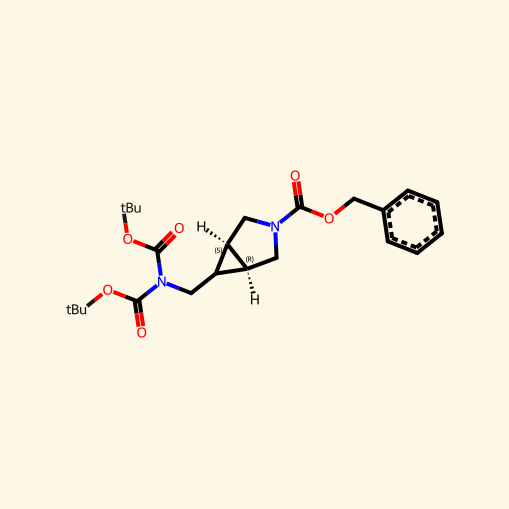 CC(C)(C)OC(=O)N(CC1[C@H]2CN(C(=O)OCc3ccccc3)C[C@@H]12)C(=O)OC(C)(C)C